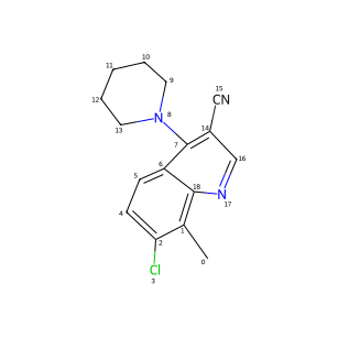 Cc1c(Cl)ccc2c(N3CCCCC3)c(C#N)cnc12